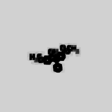 COC(=O)c1ccc2c(-c3ccccc3)c3n(c2c1)C(O)c1cc(OC)ccc1-3